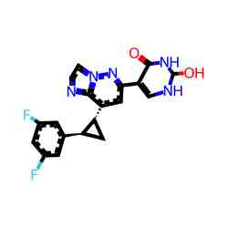 O=C1NC(O)NC=C1c1cc([C@@H]2C[C@H]2c2cc(F)cc(F)c2)c2nccn2n1